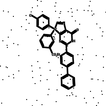 CCOC(=O)c1cccc([N+]2(c3ccc(Cl)cc3)C=Nc3c2nc(-c2ccc(-c4ccccc4)cc2)[nH]c3=O)c1